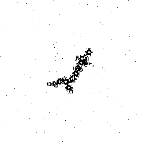 CN(C)CCC(CSc1ccccc1)Nc1ccc(S(=O)(=O)NC(=O)c2ccc(N3CCN(CC4=C(c5ccc(Cl)cc5)CCC(C)(CN5CCN(C(=O)OC(C)(C)C)CC5)C4)CC3)cc2)cc1S(=O)(=O)C(F)(F)F